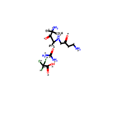 CCC(N)(C(=O)O)C(=O)C(NCC(=O)CCN)C(C)C.NC(N)=O.O=C(O)C(F)(F)F